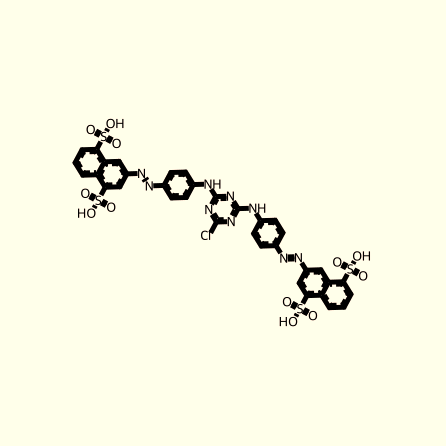 O=S(=O)(O)c1cc(/N=N/c2ccc(Nc3nc(Cl)nc(Nc4ccc(/N=N/c5cc(S(=O)(=O)O)c6cccc(S(=O)(=O)O)c6c5)cc4)n3)cc2)cc2c(S(=O)(=O)O)cccc12